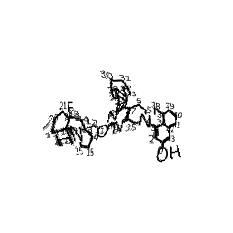 Oc1cc(N2CCc3c(nc(OC[C@@]45CCCN4[C@H]4CCC[C@@]4(F)C5)nc3N3CC4CCC(C3)N4)C2)c2c(I)cccc2c1